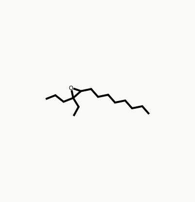 CCCCCCCCC1OC1(CC)CCC